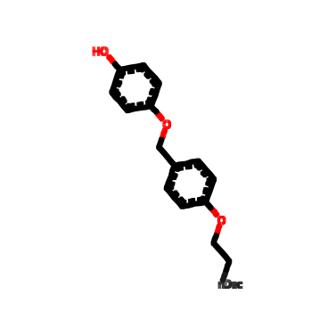 CCCCCCCCCCCCOc1ccc(COc2ccc(O)cc2)cc1